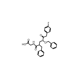 O=C(O)CNC(=O)C(Cc1ccccc1)CN(OCc1ccccc1)C(=O)Cc1ccc(F)cc1